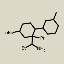 CCCCC1CCC(C2CCCC(C)C2)C(C(C)C)(C(N)CC)C1